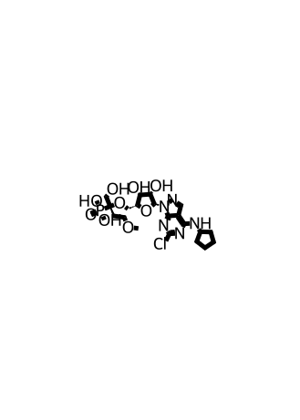 COCC[C@@](CO)(OC[C@H]1O[C@@H](n2ncc3c(NC4CCCC4)nc(Cl)nc32)[C@H](O)[C@@H]1O)P(=O)(O)O